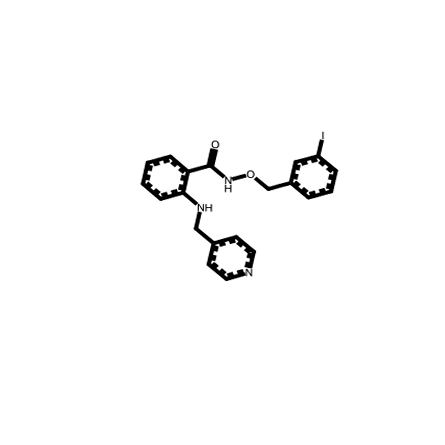 O=C(NOCc1cccc(I)c1)c1ccccc1NCc1ccncc1